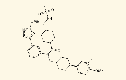 COc1ncc(-c2cccc(N(C[C@H]3CC[C@H](c4ccc(OC)c(C)c4)CC3)C(=O)[C@H]3CC[C@H](CNS(C)(=O)=O)CC3)c2)s1